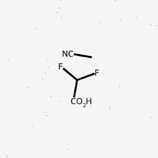 CC#N.O=C(O)C(F)F